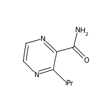 CC(C)c1nccnc1C(N)=O